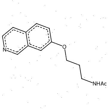 CC(=O)NCCCOc1ccc2ccncc2c1